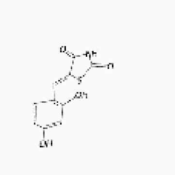 O=C1NC(=O)C(=Cc2ccc(O)cc2O)S1